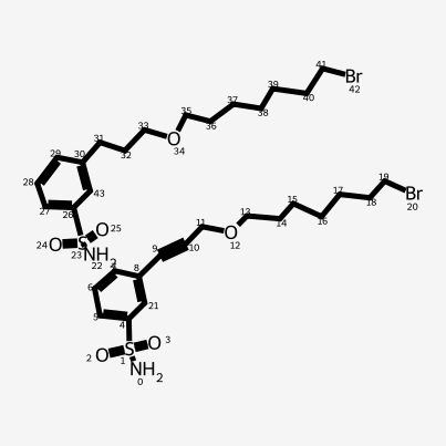 NS(=O)(=O)c1cccc(C#CCOCCCCCCCBr)c1.NS(=O)(=O)c1cccc(CCCOCCCCCCCBr)c1